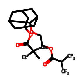 CCC(C)(C(=O)OC12CC3CC(C1)C(OCCOC(=O)C(C(F)(F)F)C(F)(F)F)C(C3)C2)C(C)(C)C